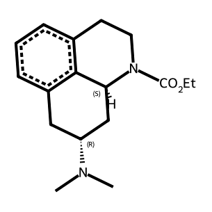 CCOC(=O)N1CCc2cccc3c2[C@@H]1C[C@H](N(C)C)C3